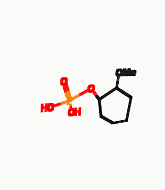 COC1CCCCC1OP(=O)(O)O